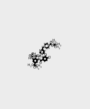 COc1c(NC(=O)c2ccc(Cl)c(Oc3cc(CN4CCN(C(=O)OC(C)(C)C)CC4)ncn3)c2)cc(C(C)(C)C)cc1NS(C)(=O)=O